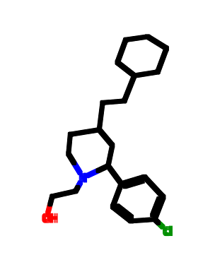 OCCN1CCC(CCC2CCCCC2)CC1c1ccc(Cl)cc1